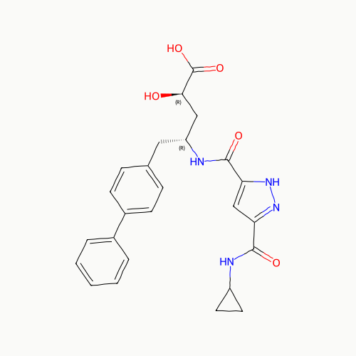 O=C(NC1CC1)c1cc(C(=O)N[C@H](Cc2ccc(-c3ccccc3)cc2)C[C@@H](O)C(=O)O)[nH]n1